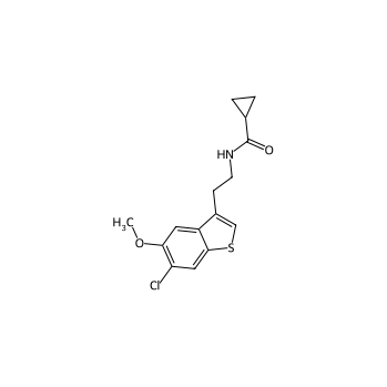 COc1cc2c(CCNC(=O)C3CC3)csc2cc1Cl